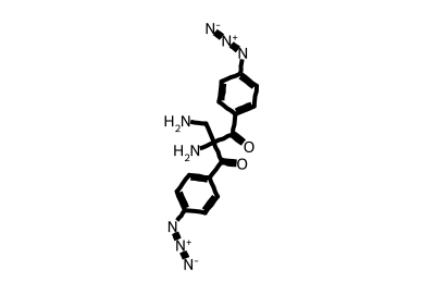 [N-]=[N+]=Nc1ccc(C(=O)C(N)(CN)C(=O)c2ccc(N=[N+]=[N-])cc2)cc1